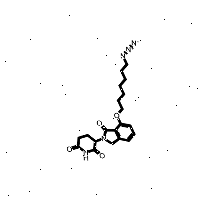 [N-]=[N+]=NCCCCCCCOc1cccc2c1C(=O)N(C1CCC(=O)NC1=O)C2